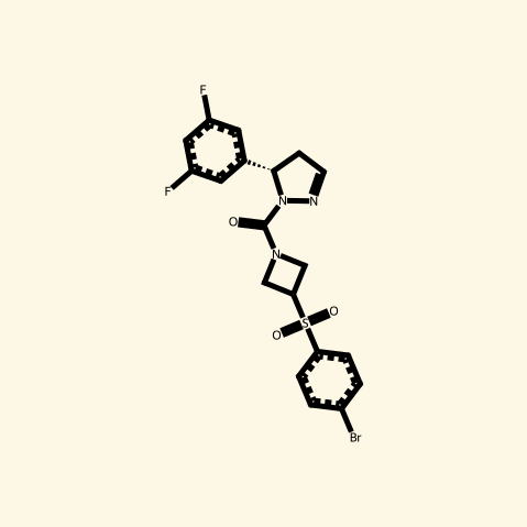 O=C(N1CC(S(=O)(=O)c2ccc(Br)cc2)C1)N1N=CC[C@H]1c1cc(F)cc(F)c1